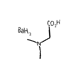 CN(C)CC(=O)O.[BaH2]